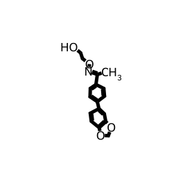 CC(=NOCCO)c1ccc(-c2ccc3c(c2)OCO3)cc1